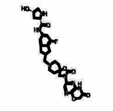 O=C1COc2ncc(N3CC4(CCN(CC5Cc6cc(NC(=O)[C@@H]7C[C@H](O)CN7)cc(F)c6C5)CC4)OC3=O)nc2N1